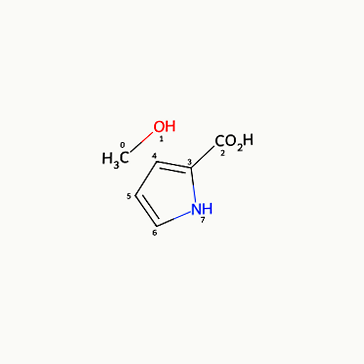 CO.O=C(O)c1ccc[nH]1